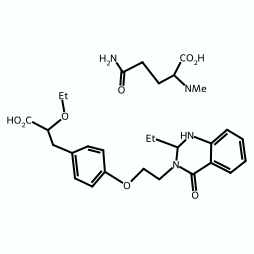 CCOC(Cc1ccc(OCCN2C(=O)c3ccccc3NC2CC)cc1)C(=O)O.CNC(CCC(N)=O)C(=O)O